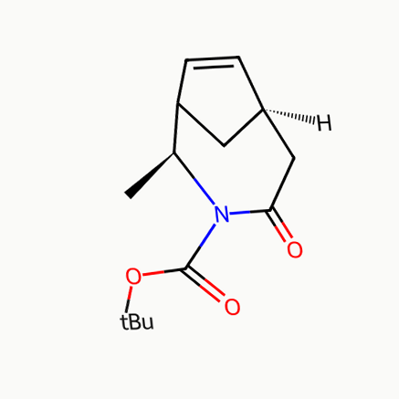 C[C@H]1C2C=C[C@@H](CC(=O)N1C(=O)OC(C)(C)C)C2